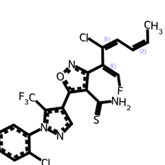 C\C=C/C=C(Cl)\C(=C\F)c1noc(-c2cnn(-c3ccccc3Cl)c2C(F)(F)F)c1C(N)=S